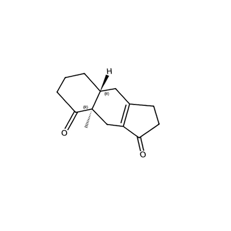 C[C@@]12CC3=C(CCC3=O)C[C@H]1CCCC2=O